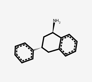 N[C@@H]1C[C@@H](c2ccccc2)Cc2ccccc21